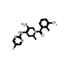 Cc1c(C(=O)N2CC(N)=C(Nc3ncc(F)cn3)CC2C)cccc1C(F)(F)F